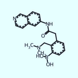 CN(C)Cc1c(CC(=O)Nc2ccc3cnccc3c2)cccc1B(O)O